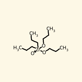 CCC[O][Zr](=[O])([CH2]CC)([CH2]CC)[O]CCC